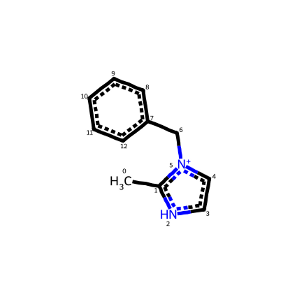 Cc1[nH]cc[n+]1Cc1ccccc1